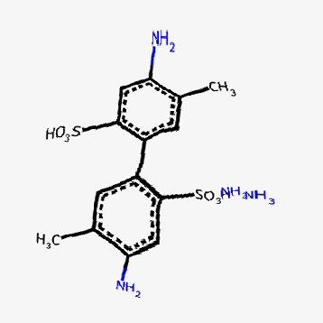 Cc1cc(-c2cc(C)c(N)cc2S(=O)(=O)O)c(S(=O)(=O)O)cc1N.N.N